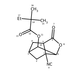 [C-]#[N+]C12CC3CC1C(=O)OC2C3OC(=O)C(C)(C)CC